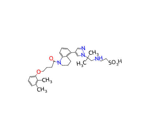 Cc1cccc(OCCCC(=O)N2CCCc3c(-c4cnn(C(C)(C)CNCCS(=O)(=O)O)c4)cccc32)c1C